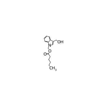 CCCCCC(=O)OCn1cc(CO)c2ccccc21